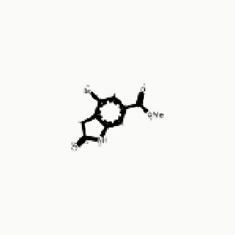 COC(=O)c1cc(Br)c2c(c1)NC(=O)C2